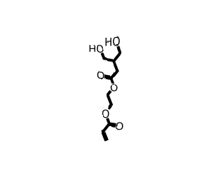 C=CC(=O)OCCOC(=O)CC(CO)CO